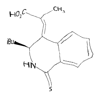 CCC(C)[C@@H]1NC(=S)c2ccccc2C1=C(C)C(=O)O